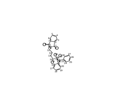 O=C1c2ccccc2C(=O)N1CCCC1Oc2ccccc2N(c2ccccc2)S1(=O)=O